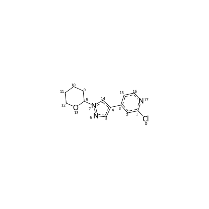 Clc1cc(-c2cnn(C3CCCCO3)c2)ccn1